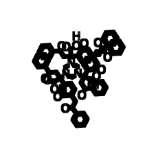 O=C(Cc1ccc(C(CC(=O)c2ccccc2)(C(=O)O)N2CN(C(CC(=O)c3ccccc3)(C(=O)O)c3ccc(CC(=O)c4ccccc4)c4c3O4)CN(C(CC(=O)c3ccccc3)(C(=O)O)c3ccc(CC(=O)c4ccccc4)c4c3O4)C2)c2c1O2)c1ccccc1